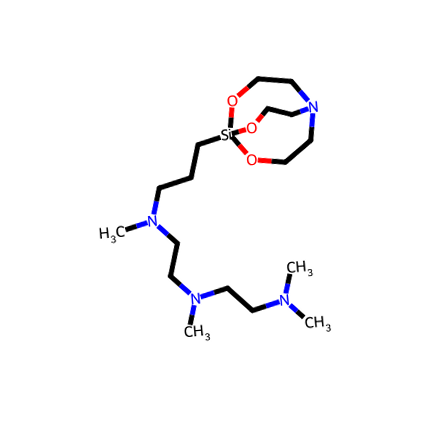 CN(C)CCN(C)CCN(C)CCC[Si]12OCCN(CCO1)CCO2